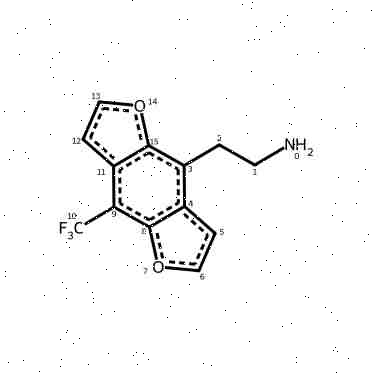 NCCc1c2ccoc2c(C(F)(F)F)c2ccoc12